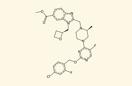 COC(=O)c1ccc2nc(CN3CCN(c4nc(OCc5ccc(Cl)cc5F)ncc4F)C[C@@H]3C)n(C[C@@H]3CCO3)c2c1